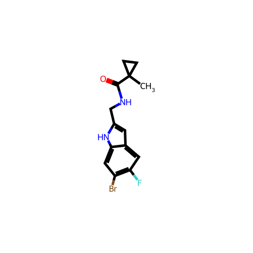 CC1(C(=O)NCc2cc3cc(F)c(Br)cc3[nH]2)CC1